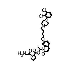 CC(OC(=O)C1CCCN1C(=O)CN)n1c(=O)ccc2ccc(OCCCCN3CCN(c4cccc(Cl)c4Cl)CC3)cc21